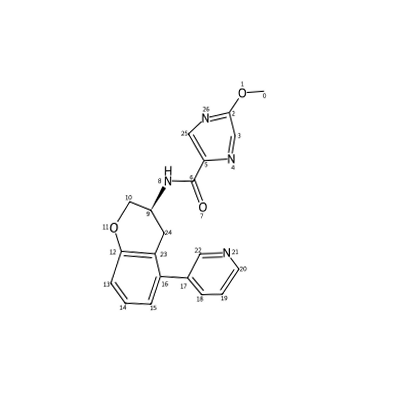 COc1cnc(C(=O)N[C@@H]2COc3cccc(-c4cccnc4)c3C2)cn1